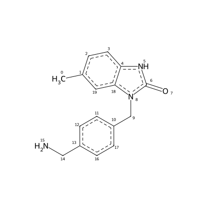 Cc1ccc2[nH]c(=O)n(Cc3ccc(CN)cc3)c2c1